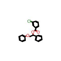 O=C(OC(COc1ccccc1)c1ccccc1)c1cccc(Cl)c1